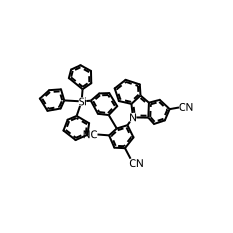 N#Cc1cc(C#N)c(-c2cccc([Si](c3ccccc3)(c3ccccc3)c3ccccc3)c2)c(-n2c3ccccc3c3cc(C#N)ccc32)c1